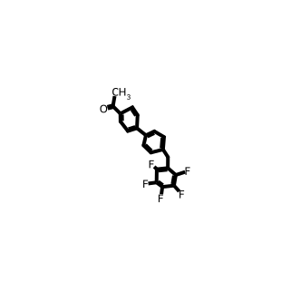 CC(=O)c1ccc(-c2ccc(Cc3c(F)c(F)c(F)c(F)c3F)cc2)cc1